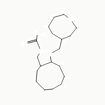 CC(=O)SCC1CCCCCCCC1OCC1CCCCCCC1